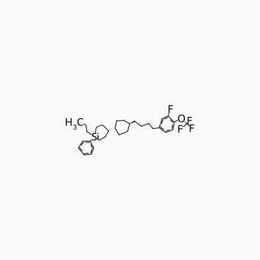 CCC[Si]1(c2ccccc2)CCC([C@H]2CC[C@H](CCCCc3ccc(OC(F)(F)F)c(F)c3)CC2)CC1